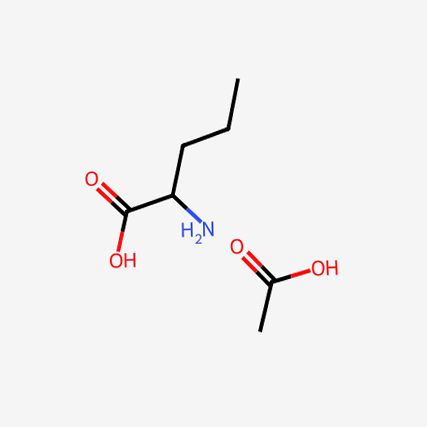 CC(=O)O.CCCC(N)C(=O)O